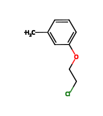 [CH2]c1cccc(OCCCl)c1